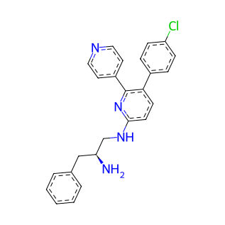 N[C@H](CNc1ccc(-c2ccc(Cl)cc2)c(-c2ccncc2)n1)Cc1ccccc1